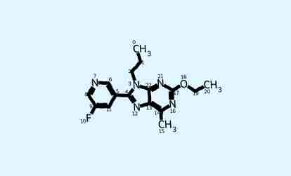 CCCn1c(-c2cncc(F)c2)nc2c(C)nc(OCC)nc21